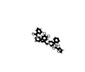 O=C(NC1(c2ccccc2)CCN(CCCC2(c3ccc(Cl)c(Cl)c3)CCCN(C(=O)c3ccccc3)C2)CC1)c1ccco1